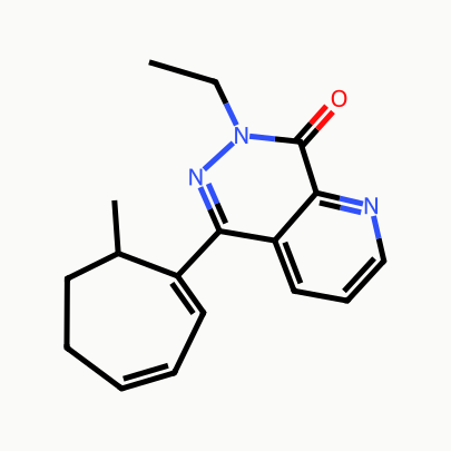 CCn1nc(C2=CC=CCCC2C)c2cccnc2c1=O